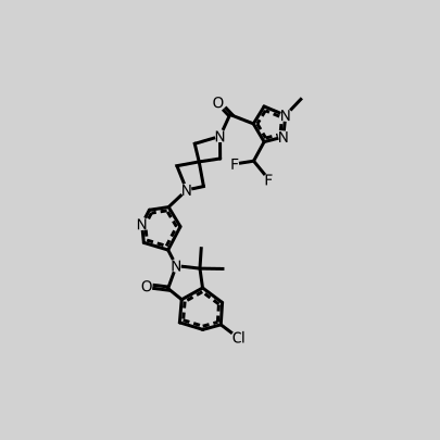 Cn1cc(C(=O)N2CC3(C2)CN(c2cncc(N4C(=O)c5ccc(Cl)cc5C4(C)C)c2)C3)c(C(F)F)n1